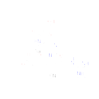 CC(C)(C)OC(=O)c1ccc(C#N)cc1Oc1nc(Oc2ccccc2NC(=N)N)nc2c1NC(=O)C(CO)O2